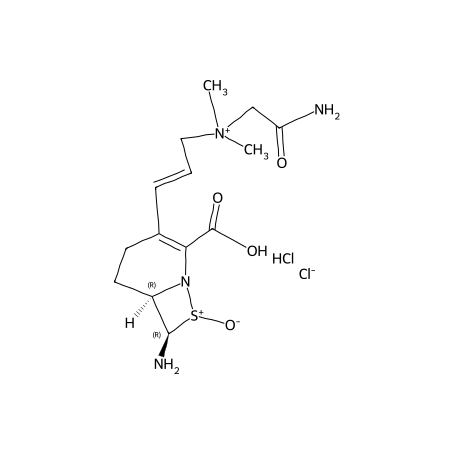 C[N+](C)(CC=CC1=C(C(=O)O)N2[C@H](CC1)[C@H](N)[S+]2[O-])CC(N)=O.Cl.[Cl-]